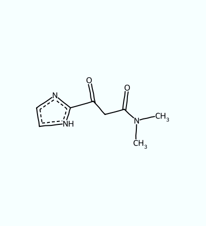 CN(C)C(=O)CC(=O)c1ncc[nH]1